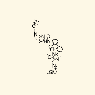 COC1=NC(c2cccc(-c3cccc(NC(=O)c4cc(C)c5c(n4)CN(CCO[Si](C)(C)C(C)(C)C)CC5)c3Cl)c2Cl)C(C)N=C1CN1CC(C)(O[Si](C)(C)C(C)(C)C)C1